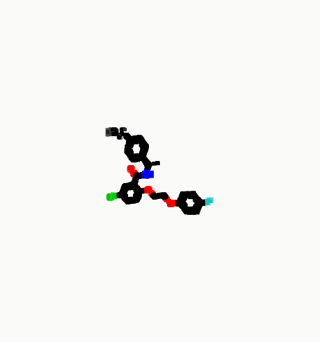 C[C@H](NC(=O)c1cc(Cl)ccc1OCCOc1ccc(F)cc1)c1ccc(C(=O)O)cc1